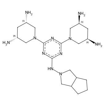 N[C@@H]1C[C@H](N)CN(c2nc(NN3CC4CCCC4C3)nc(N3C[C@H](N)C[C@H](N)C3)n2)C1